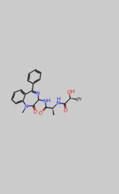 CC(C)[C@H](O)C(=O)N[C@@H](C)C(=O)NC1N=C(c2ccccc2)c2ccccc2N(C)C1=O